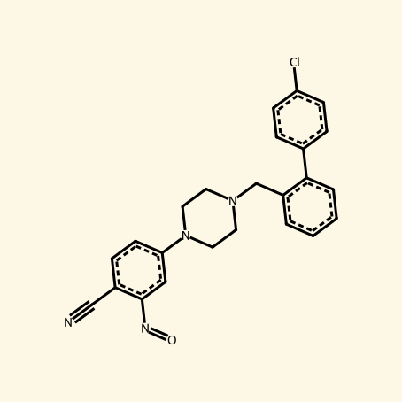 N#Cc1ccc(N2CCN(Cc3ccccc3-c3ccc(Cl)cc3)CC2)cc1N=O